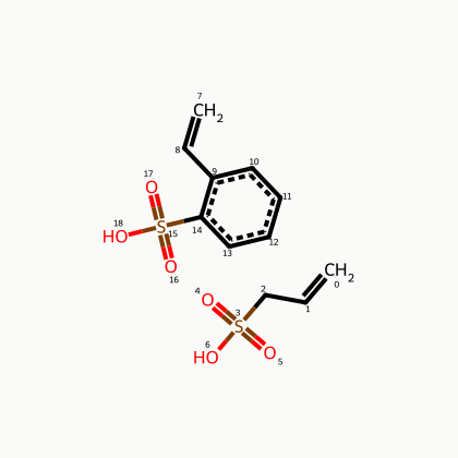 C=CCS(=O)(=O)O.C=Cc1ccccc1S(=O)(=O)O